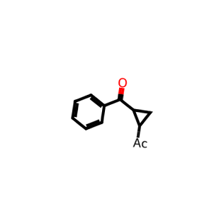 CC(=O)C1CC1C(=O)c1ccccc1